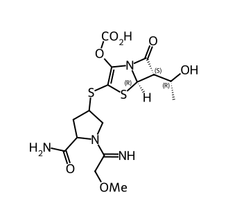 COCC(=N)N1CC(SC2=C(OC(=O)O)N3C(=O)[C@H]([C@@H](C)O)[C@H]3S2)CC1C(N)=O